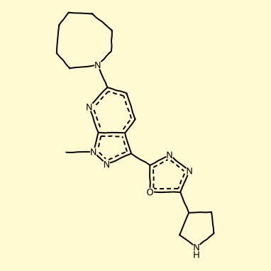 Cn1nc(-c2nnc(C3CCNC3)o2)c2ccc(N3CCCCCCC3)nc21